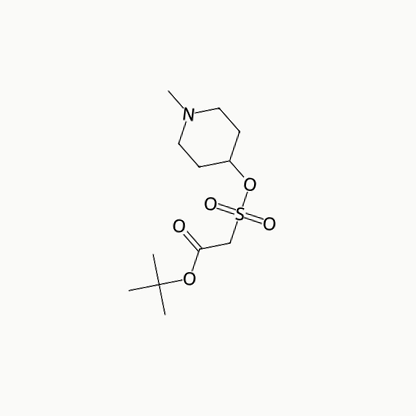 CN1CCC(OS(=O)(=O)CC(=O)OC(C)(C)C)CC1